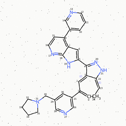 C=C(/C=c1/c(-c2cc3c(-c4cccnc4)ccnc3[nH]2)n[nH]/c1=C/C)c1cncc(CN2CCCC2)c1